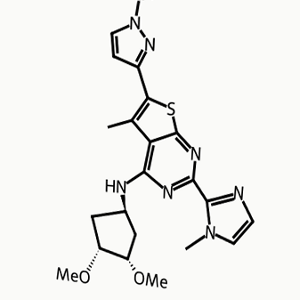 CO[C@H]1C[C@H](Nc2nc(-c3nccn3C)nc3sc(-c4ccn(C(C)C)n4)c(C)c23)C[C@H]1OC